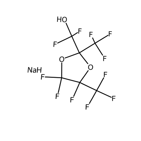 OC(F)(F)C1(C(F)(F)F)OC(F)(F)C(F)(C(F)(F)F)O1.[NaH]